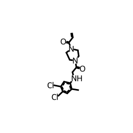 C=CC(=O)N1CCN(C(=O)CNc2cc(Cl)c(Cl)cc2C)CC1